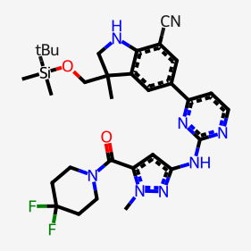 Cn1nc(Nc2nccc(-c3cc(C#N)c4c(c3)C(C)(CO[Si](C)(C)C(C)(C)C)CN4)n2)cc1C(=O)N1CCC(F)(F)CC1